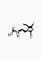 O=C(O)NCCn1c(Cl)nc(I)c1I